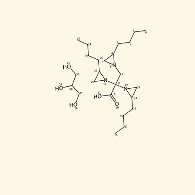 CCCCC1CN1CC(C(=O)O)(N1CC1CCCC)N1CC1CCCC.OCC(O)CO